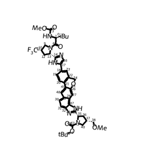 CCC(C)[C@H](NC(=O)OC)C(=O)N1C[C@@H](C(F)(F)F)C[C@H]1c1ncc(-c2ccc3c(c2)COc2cc4c(ccc5nc([C@@H]6C[C@H](COC)CN6C(=O)OC(C)(C)C)[nH]c54)cc2-3)[nH]1